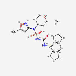 Cc1cc(N(C2CCOCC2)S(=O)(=O)NC(=O)Nc2c3c(cc4c2CCC4)CCC3)no1.[Na]